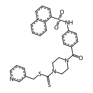 O=C(c1ccc(NS(=O)(=O)c2cccc3ccccc23)cc1)N1CCN(C(=S)SCc2cccnc2)CC1